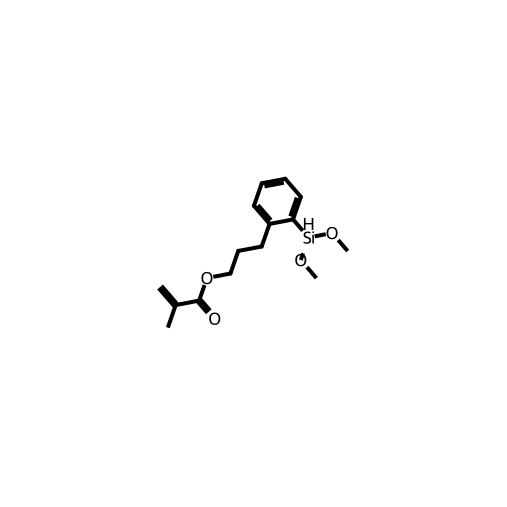 C=C(C)C(=O)OCCCc1ccccc1[SiH](OC)OC